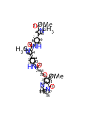 COC(=O)c1cc(-c2ccc(NC(=O)c3cc(-c4ccc(NC(=O)CCCOc5cc6c(cc5OC)C(=O)N5CCC[C@H]5C=N6)cc4)cn3C)cc2)cn1C